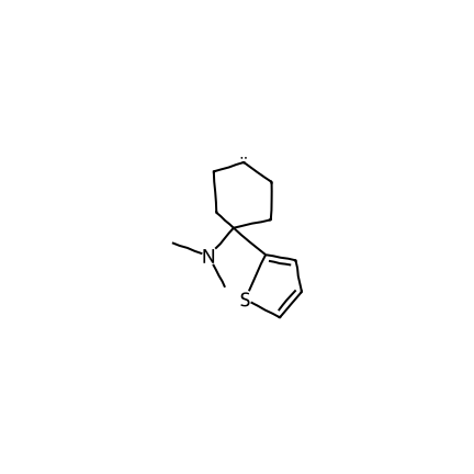 CN(C)C1(c2cccs2)CC[C]CC1